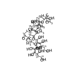 CC1(C)C(=O)CC[C@@]2(C)C1[C@@H](O[C@@H](O)/C(O[C@@H](O)/C(O)=C(/O)[C@@H](O)CCO)=C(\O)[C@@H](O)CCO)C[C@]1(C)C2C[C@@H](O)C2C([C@]3(C)CC[C@H](C(C)(C)O)O3)CC[C@]21C